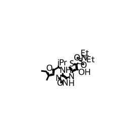 CCN(CC)S(=O)(=O)c1scc(Nc2nonc2NC(c2cc(C)c(C)o2)C(C)C)c1O